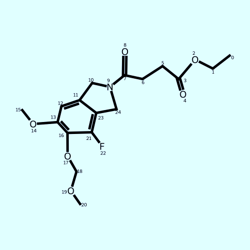 CCOC(=O)CCC(=O)N1Cc2cc(OC)c(OCOC)c(F)c2C1